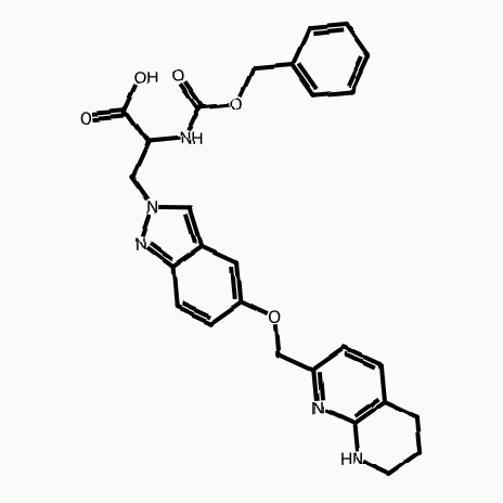 O=C(NC(Cn1cc2cc(OCc3ccc4c(n3)NCCC4)ccc2n1)C(=O)O)OCc1ccccc1